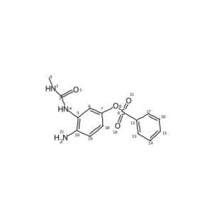 CNC(=O)Nc1cc(OS(=O)(=O)c2ccccc2)ccc1N